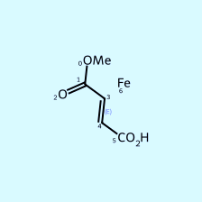 COC(=O)/C=C/C(=O)O.[Fe]